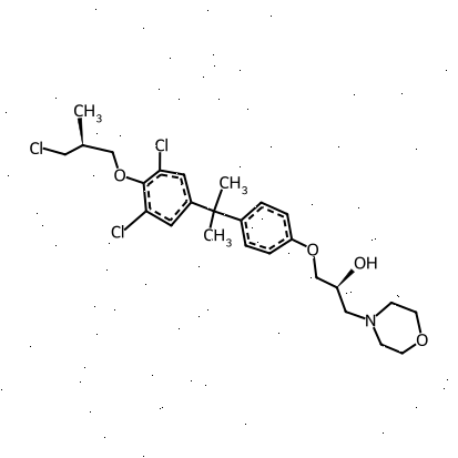 C[C@H](CCl)COc1c(Cl)cc(C(C)(C)c2ccc(OC[C@@H](O)CN3CCOCC3)cc2)cc1Cl